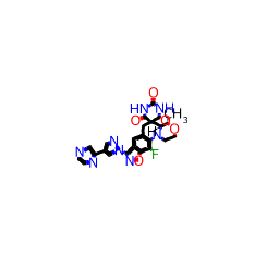 C[C@@H]1OCCN2c3c(cc4c(-n5cc(-c6cnccn6)cn5)noc4c3F)CC3(C(=O)NC(=O)NC3=O)[C@@H]12